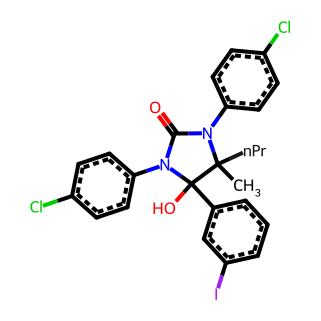 CCCC1(C)N(c2ccc(Cl)cc2)C(=O)N(c2ccc(Cl)cc2)C1(O)c1cccc(I)c1